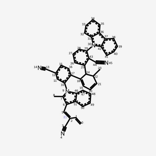 C=C/C(C#N)=C\c1c(C)n(-c2cc(C#N)ccc2C2=CC=CC(C)C2c2cccc(-n3c4ccccc4c4ccccc43)c2C#N)c2ccccc12